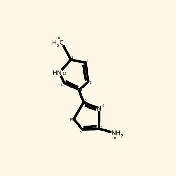 CC1C=CC(C2=NC(N)=CC2)=CN1